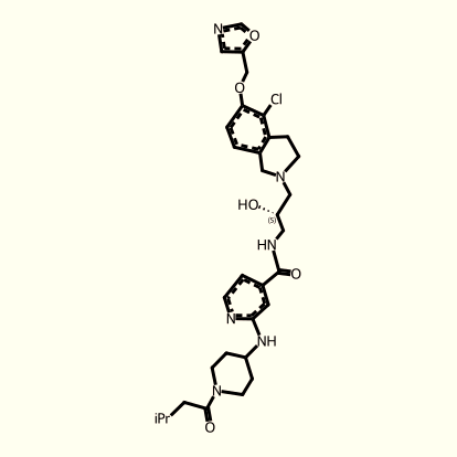 CC(C)CC(=O)N1CCC(Nc2cc(C(=O)NC[C@H](O)CN3CCc4c(ccc(OCc5cnco5)c4Cl)C3)ccn2)CC1